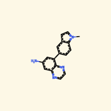 Cn1ccc2cc(-c3cc(N)cc4nccnc34)ccc21